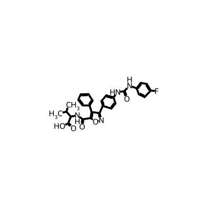 CC(C)C(NC(=O)c1onc(-c2ccc(NC(=O)Nc3ccc(F)cc3)cc2)c1-c1ccccc1)C(=O)O